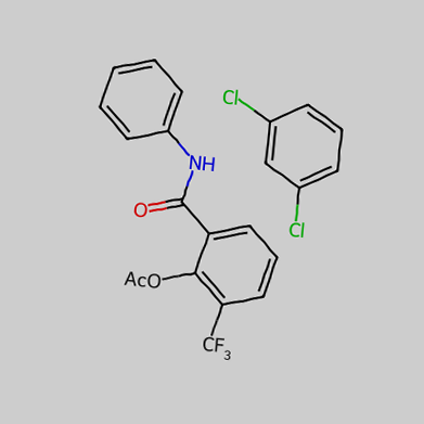 CC(=O)Oc1c(C(=O)Nc2ccccc2)cccc1C(F)(F)F.Clc1cccc(Cl)c1